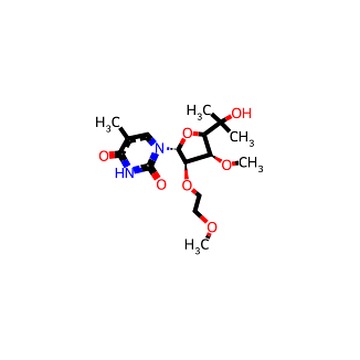 COCCO[C@@H]1[C@H](OC)C(C(C)(C)O)O[C@H]1n1cc(C)c(=O)[nH]c1=O